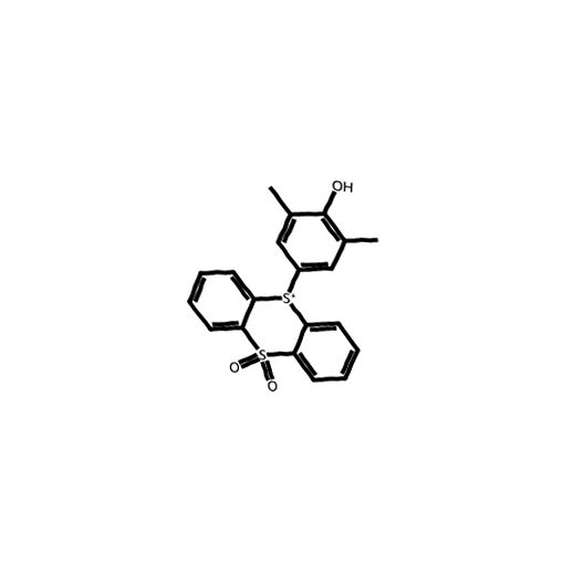 Cc1cc([S+]2c3ccccc3S(=O)(=O)c3ccccc32)cc(C)c1O